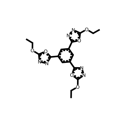 CCOc1nnc(-c2cc(-c3nnc(OCC)o3)cc(-c3nnc(OCC)o3)c2)o1